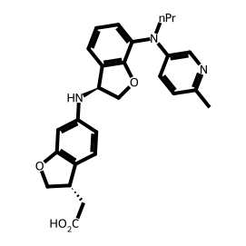 CCCN(c1ccc(C)nc1)c1cccc2c1OC[C@H]2Nc1ccc2c(c1)OC[C@H]2CC(=O)O